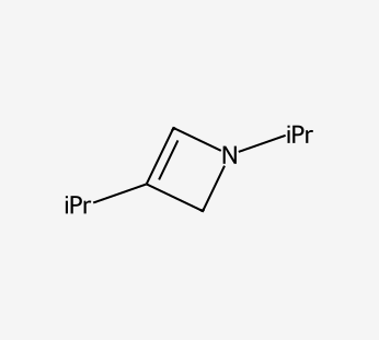 CC(C)C1=CN(C(C)C)C1